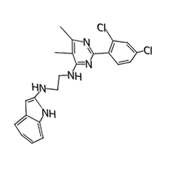 Cc1nc(-c2ccc(Cl)cc2Cl)nc(NCCNc2cc3ccccc3[nH]2)c1C